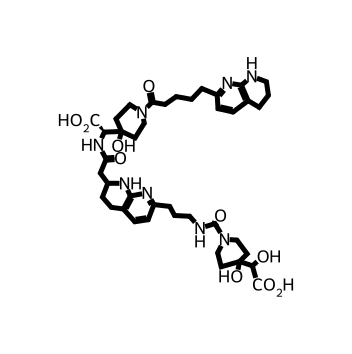 O=C(CC1CCc2ccc(CCCNC(=O)N3CCC(O)(C(O)C(=O)O)CC3)nc2N1)N[C@@H](C(=O)O)C1(O)CCN(C(=O)CCCCc2ccc3c(n2)NCCC3)CC1